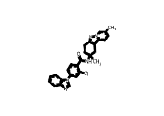 Cc1ccc2c3c(nn2c1)CCC(C)(NC(=O)c1ccc(-n2cnc4ccccc42)cc1Cl)C3